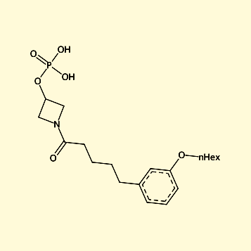 CCCCCCOc1cccc(CCCCC(=O)N2CC(OP(=O)(O)O)C2)c1